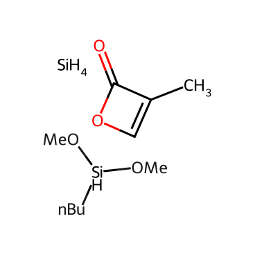 CC1=COC1=O.CCCC[SiH](OC)OC.[SiH4]